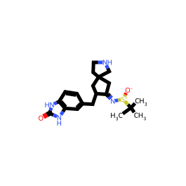 CC(C)(C)[S+]([O-])/N=C1\CC2(CCNC2)CC1Cc1ccc2[nH]c(=O)[nH]c2c1